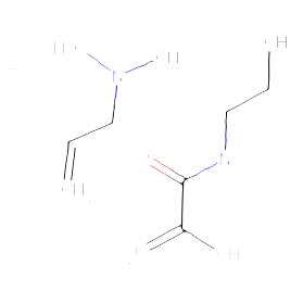 C=C(C)C(=O)NCCC.C=CCN(C)C.Cl